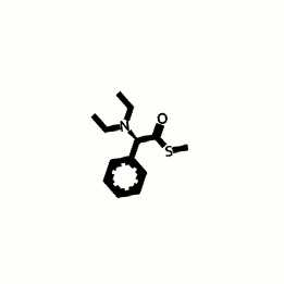 CCN(CC)[C@@H](C(=O)SC)c1ccccc1